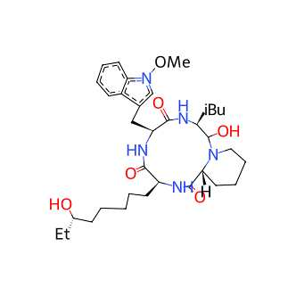 CCC(C)[C@@H]1NC(=O)[C@H](Cc2cn(OC)c3ccccc23)NC(=O)[C@H](CCCCC[C@@H](O)CC)NC(=O)[C@H]2CCCCN2C1O